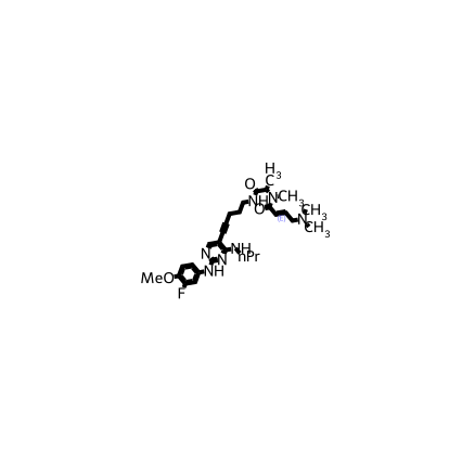 CCCNc1nc(Nc2ccc(OC)c(F)c2)ncc1C#CCCCNC(=O)C(C)N(C)C(=O)/C=C/CN(C)C